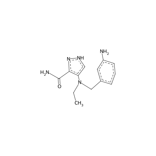 CCN(Cc1cccc(N)c1)c1c[nH]nc1C(N)=O